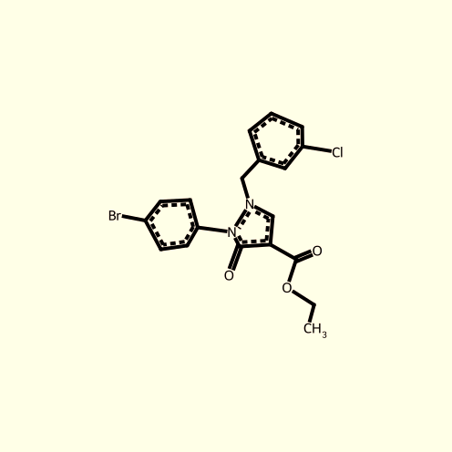 CCOC(=O)c1cn(Cc2cccc(Cl)c2)n(-c2ccc(Br)cc2)c1=O